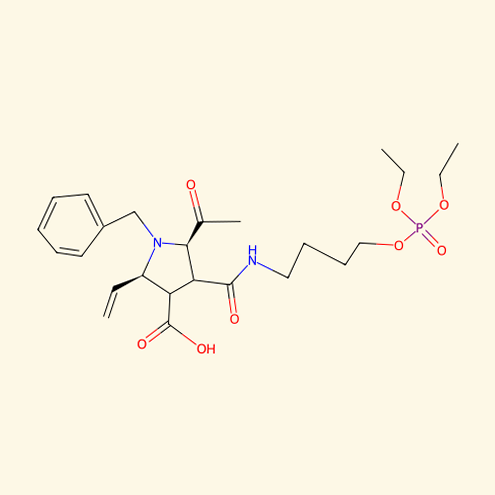 C=C[C@@H]1C(C(=O)O)C(C(=O)NCCCCOP(=O)(OCC)OCC)[C@H](C(C)=O)N1Cc1ccccc1